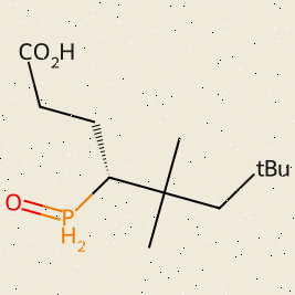 CC(C)(C)CC(C)(C)[C@@H](CCC(=O)O)[PH2]=O